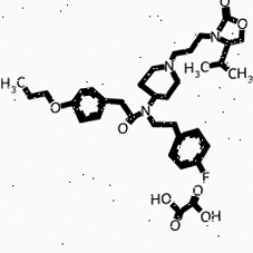 CCCOc1ccc(CC(=O)N(CCc2ccc(F)cc2)C2CCN(CCCN3C(=O)OCC3C(C)C)CC2)cc1.O=C(O)C(=O)O